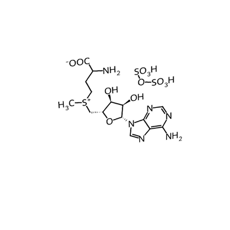 C[S+](CCC(N)C(=O)[O-])C[C@H]1O[C@@H](n2cnc3c(N)ncnc32)[C@H](O)[C@@H]1O.O=S(=O)(O)OS(=O)(=O)O